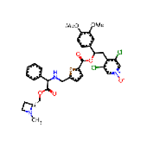 COc1ccc(C(Cc2c(Cl)c[n+]([O-])cc2Cl)OC(=O)c2ccc(CNC(C(=O)OC[C@H]3CCN3C)c3ccccc3)s2)cc1OC